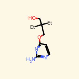 CCC(CC)(CO)COc1ccnc(N)n1